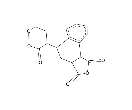 O=C1OOCCC1C1CC2C(=O)OC(=O)C2c2ccccc21